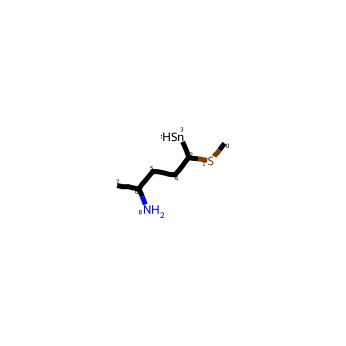 CS[CH]([SnH])CCC(C)N